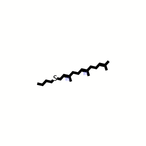 CCCCSC/C=C(\C)CC/C=C(\C)CCC=C(C)C